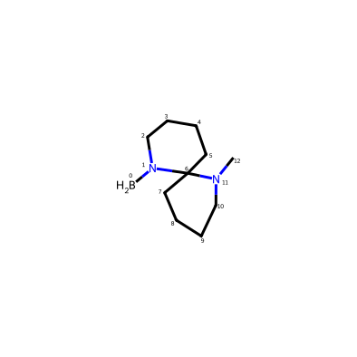 BN1CCCCC12CCCCN2C